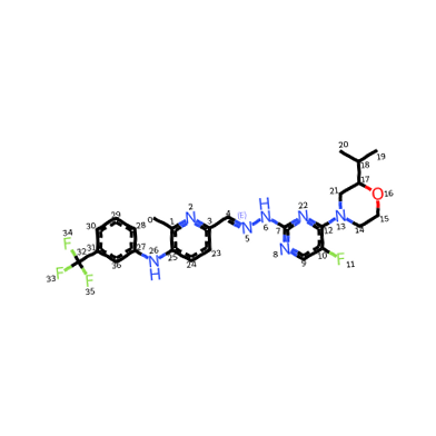 Cc1nc(/C=N/Nc2ncc(F)c(N3CCOC(C(C)C)C3)n2)ccc1Nc1cccc(C(F)(F)F)c1